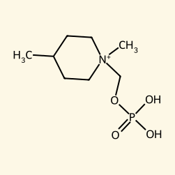 CC1CC[N+](C)(COP(=O)(O)O)CC1